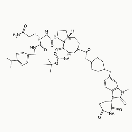 CC(C)c1ccc(CNC(=O)[C@H](CCC(N)=O)NC(=O)[C@@H]2CC[C@@H]3CCN(C(=O)CC4CCC(Cc5ccc6c(c5)n(C)c(=O)n6C5CCC(=O)NC5=O)CC4)C[C@H](NC(=O)OC(C)(C)C)C(=O)N32)cc1